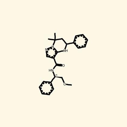 COC[C@H](NC(=O)c1cnn2c1NC(c1ccccc1)CC2(C)C)c1ccccc1